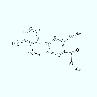 COC(=O)c1ccc(-c2cccc(C)c2C)cc1C#N